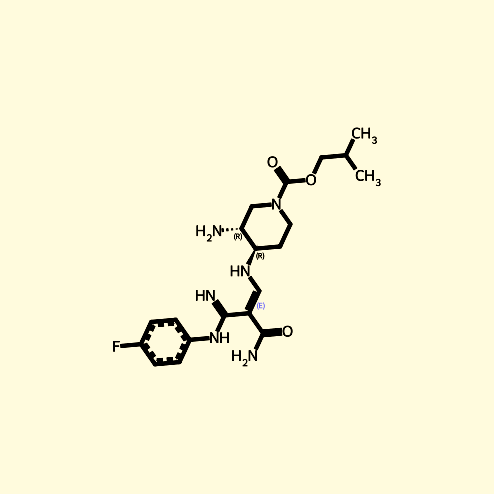 CC(C)COC(=O)N1CC[C@@H](N/C=C(\C(=N)Nc2ccc(F)cc2)C(N)=O)[C@H](N)C1